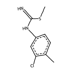 CSC(=N)Nc1ccc(C)c(Cl)c1